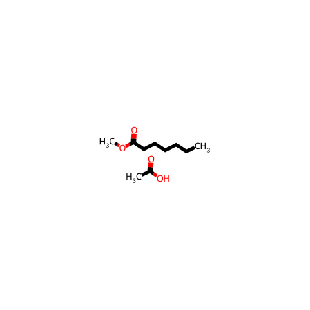 CC(=O)O.CCCCCCC(=O)OC